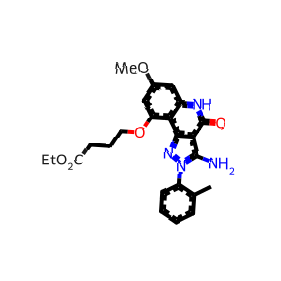 CCOC(=O)CCCOc1cc(OC)cc2[nH]c(=O)c3c(N)n(-c4ccccc4C)nc3c12